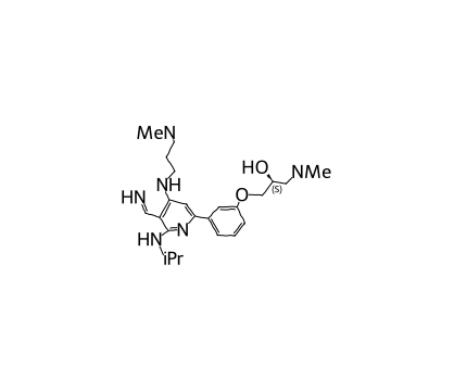 CNCCCNc1cc(-c2cccc(OC[C@@H](O)CNC)c2)nc(NC(C)C)c1C=N